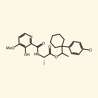 COc1ccnc(C(=O)N[C@@H](C)C(=O)OC(C)C2(c3ccc(Cl)cc3)CCCCC2)c1O